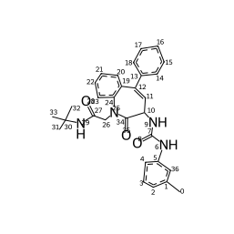 Cc1cccc(NC(=O)NC2C=C(c3ccccc3)c3ccccc3N(CC(=O)NC(C)(C)C)C2=O)c1